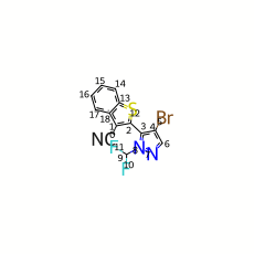 N#Cc1c(-c2c(Br)cnn2C(F)F)sc2ccccc12